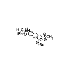 CC(C)(C)OC(=O)N[C@H](/C=C/S(C)(=O)=O)Cc1ccc(O[Si](C)(C)C(C)(C)C)c(Cl)c1